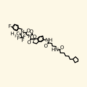 C[C@H](N(Cc1ccc(F)cc1)C(=O)CN1C(=O)O[C@@]2(CCc3cc(NC(=O)CCCNC(=O)CCCCCC4CCCC4)ccc32)C1=O)C(F)(F)F